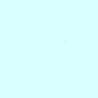 CCCCCCCC/C=C\CCCCCCCCCC(O)CN(CCO)CCO